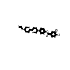 C=CC[C@H]1CC[C@H]([C@H]2CC[C@H](c3ccc(OC(=O)c4ccc(Cl)c(Cl)c4)cc3)CC2)CC1